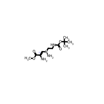 COC(=O)/C(N)=C/N(N)CCNC(=O)OC(C)(C)C